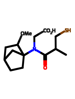 COC1CC2CCC1(N(CC(=O)O)C(=O)C(C)CS)C2